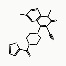 Cc1ccc2c(c1)c(N1CCN(C(=O)c3ccco3)CC1)c(C#N)c(=O)n2C